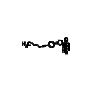 CCCCCC#Cc1ccc([C@H]2CC[C@](N)(C(=O)O)C2)cc1